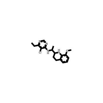 CCc1ncnc(NC(C)C2CCc3cccc(OC)c3N2)c1Cl